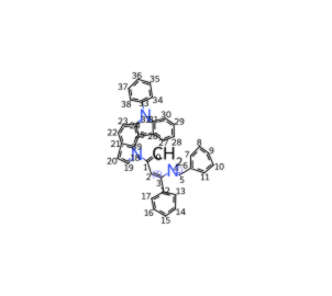 C=C(/C=C(\N=C\c1ccccc1)c1ccccc1)n1ccc2ccc3c(c4ccccc4n3-c3ccccc3)c21